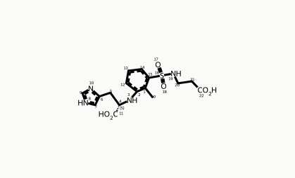 Cc1c(N[C@@H](Cc2c[nH]cn2)C(=O)O)cccc1S(=O)(=O)NCCC(=O)O